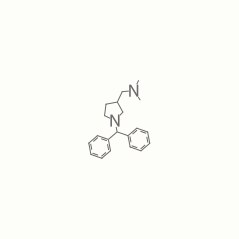 CN(C)CC1CCN(C(c2ccccc2)c2ccccc2)C1